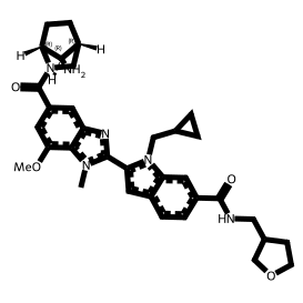 COc1cc(C(=O)N2C[C@H]3CC[C@@H]2[C@@H]3N)cc2nc(-c3cc4ccc(C(=O)NCC5CCOC5)cc4n3CC3CC3)n(C)c12